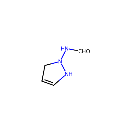 O=CNN1CC=CN1